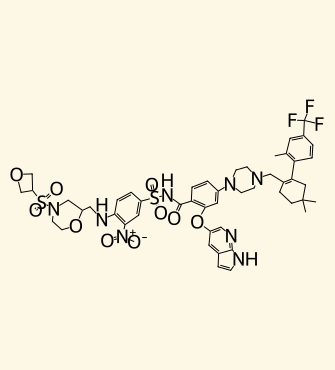 Cc1cc(C(F)(F)F)ccc1C1=C(CN2CCN(c3ccc(C(=O)NS(=O)(=O)c4ccc(NCC5CN(S(=O)(=O)C6COC6)CCO5)c([N+](=O)[O-])c4)c(Oc4cnc5[nH]ccc5c4)c3)CC2)CCC(C)(C)C1